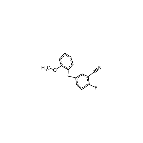 COc1ccccc1Cc1ccc(F)c(C#N)c1